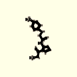 COC(=O)c1sccc1NC(=O)CSc1ccc(C)cc1